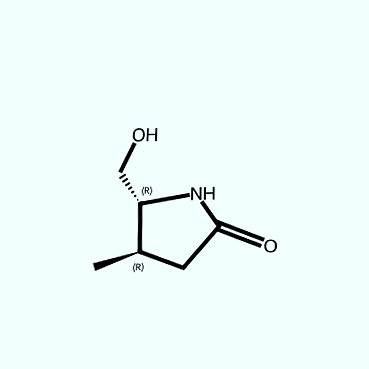 C[C@@H]1CC(=O)N[C@H]1CO